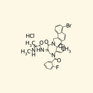 CN[C@@H](C)C(=O)N[C@H]1CN(C(=O)c2ccccc2F)c2ccccc2N(Cc2c(OC)ccc3c(Br)cccc23)C1=O.Cl